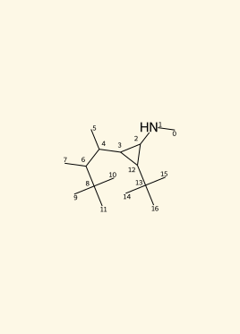 CNC1C(C(C)C(C)C(C)(C)C)C1C(C)(C)C